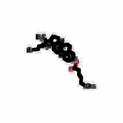 CCCCCCCCCCCCCCC(=O)O[C@H]1CC[C@@]2(C)C(=CC[C@@H]3[C@@H]2CC[C@]2(C)C([C@H](C)CCCC(C)C)CC[C@@H]32)C1